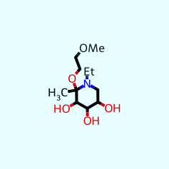 CCN1CC(O)C(O)C(O)C1(C)OCCOC